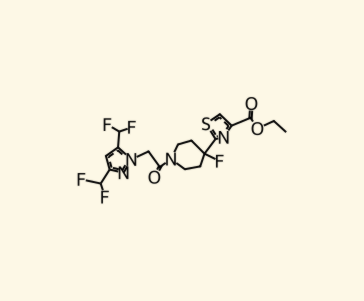 CCOC(=O)c1csc(C2(F)CCN(C(=O)Cn3nc(C(F)F)cc3C(F)F)CC2)n1